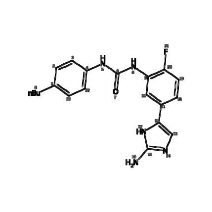 CCCCc1ccc(NC(=O)Nc2cc(-c3cnc(N)[nH]3)ccc2F)cc1